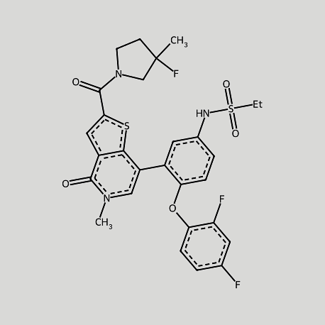 CCS(=O)(=O)Nc1ccc(Oc2ccc(F)cc2F)c(-c2cn(C)c(=O)c3cc(C(=O)N4CCC(C)(F)C4)sc23)c1